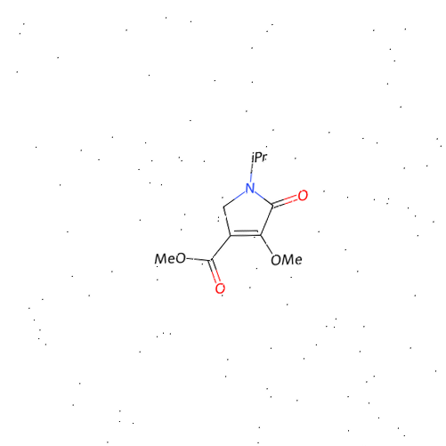 COC(=O)C1=C(OC)C(=O)N(C(C)C)C1